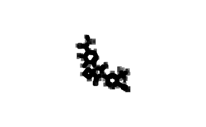 CNC(=O)C1=CC=C(N2C(=S)N(c3cnc(C#N)c(C(F)(F)F)c3)C(=O)C23CCC3)C(C)C1F